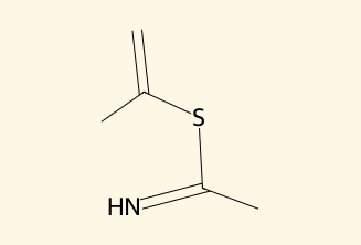 C=C(C)SC(C)=N